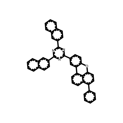 c1ccc(-c2ccc3c4c(cccc24)-c2cc(-c4nc(-c5ccc6ccccc6c5)nc(-c5ccc6ccccc6c5)n4)ccc2O3)cc1